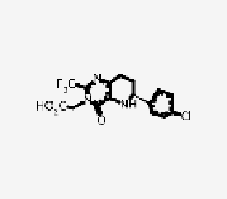 O=C(O)Cn1c(C(F)(F)F)nc2c(c1=O)N[C@H](c1ccc(Cl)cc1)CC2